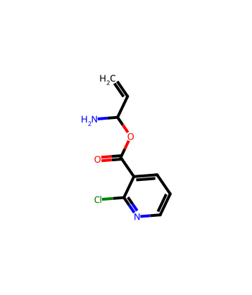 C=CC(N)OC(=O)c1cccnc1Cl